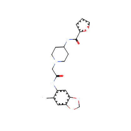 CC(=O)c1cc2c(cc1NC(=O)CN1CCC(NC(=O)c3ccco3)CC1)OCO2